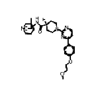 COCCOc1ccc(-c2ccnc(N3CCC(F)(C(=O)NC4(C)CN5CCC4CC5)CC3)n2)cc1